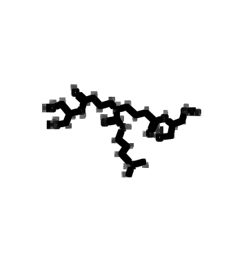 COCC(CO)OC(=O)CCCN(CCCC(=O)OC(CO)CO)C(=O)SCCCN(C)C